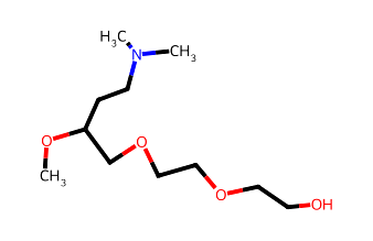 COC(CCN(C)C)COCCOCCO